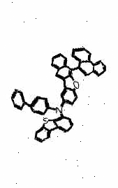 c1ccc(-c2ccc(N(c3ccc4oc5c(-c6cc7ccccc7c7ccccc67)c6ccccc6cc5c4c3)c3cccc4c3sc3ccccc34)cc2)cc1